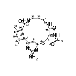 CC(=O)NC1CSc2cc(nc(N)n2)-c2cc(c(C)cc2C)C(=O)NCCCNC1=O